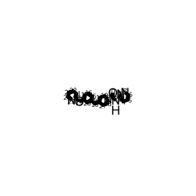 O=C(Nc1cccnn1)N1CCC(=Cc2cccc(Oc3ccccn3)c2)CC1